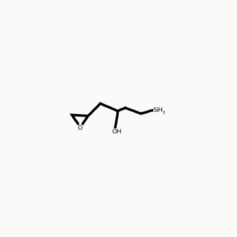 OC(CC[SiH3])CC1CO1